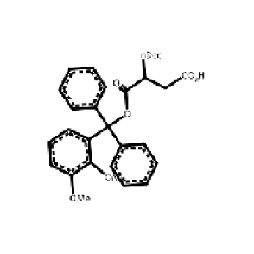 CCCCCCCCCCC(CC(=O)O)C(=O)OC(c1ccccc1)(c1ccccc1)c1cccc(OC)c1OC